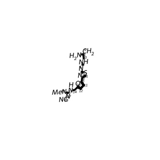 C=C(N)CNC=Nc1nc(-c2ccc(CNC(=NC#N)NC)o2)cs1